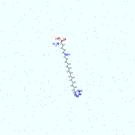 N[C@@H](CCCCNCCCCCCCCCCCCCCCc1nnn[nH]1)C(=O)O